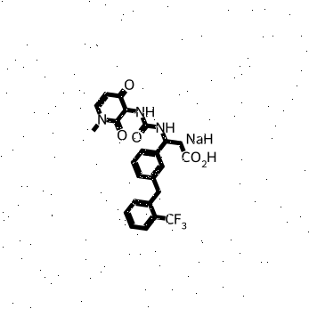 CN1C=CC(=O)C(NC(=O)NC(CC(=O)O)c2cccc(Cc3ccccc3C(F)(F)F)c2)C1=O.[NaH]